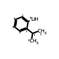 CC(C)c1ccccc1.[LiH]